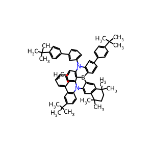 Cc1cc2c3c(c1)N(c1ccc(C(C)(C)C)cc1-c1ccccc1)c1cc4c(cc1B3c1ccc(-c3ccc(C(C)(C)C)cc3)cc1N2c1cccc(-c2ccc(C(C)(C)C)cc2)c1)C(C)(C)CCC4(C)C